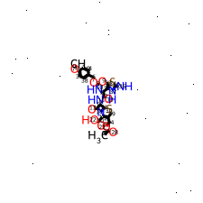 COc1ccc(COC(=O)NC(C(=O)N[C@H]2C(=O)N3C(C(=O)O)=C(COC(C)=O)CSC23)c2csc(=N)[nH]2)cc1